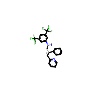 FC(F)(F)c1cc(NC[C@@H](Cc2ccccn2)c2ccccc2)cc(C(F)(F)F)c1